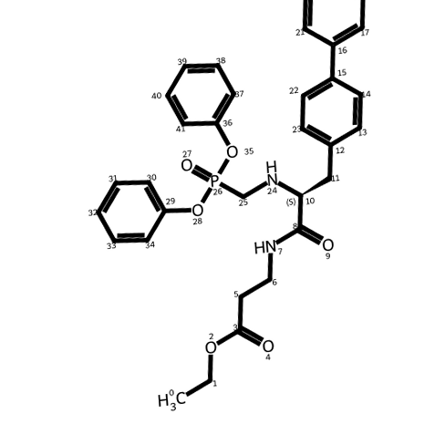 CCOC(=O)CCNC(=O)[C@H](Cc1ccc(-c2ccccc2)cc1)NCP(=O)(Oc1ccccc1)Oc1ccccc1